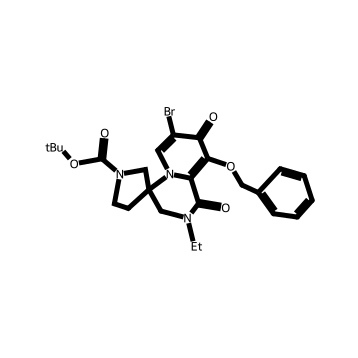 CCN1CC2(CCN(C(=O)OC(C)(C)C)C2)n2cc(Br)c(=O)c(OCc3ccccc3)c2C1=O